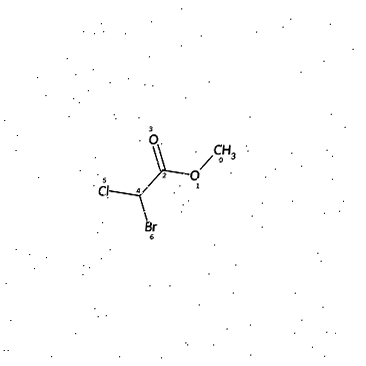 COC(=O)C(Cl)Br